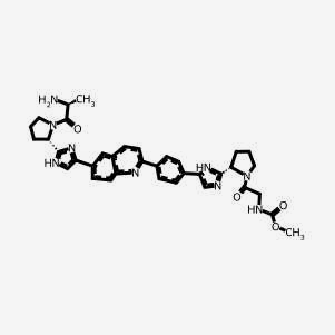 COC(=O)NCC(=O)N1CCC[C@H]1c1ncc(-c2ccc(-c3ccc4cc(-c5c[nH]c([C@@H]6CCCN6C(=O)[C@H](C)N)n5)ccc4n3)cc2)[nH]1